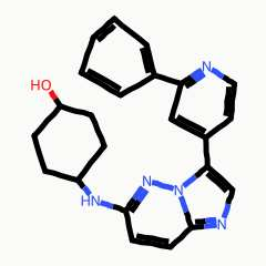 OC1CCC(Nc2ccc3ncc(-c4ccnc(-c5ccccc5)c4)n3n2)CC1